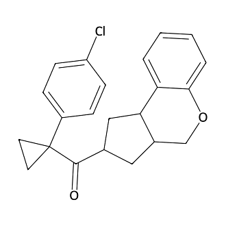 O=C(C1CC2COc3ccccc3C2C1)C1(c2ccc(Cl)cc2)CC1